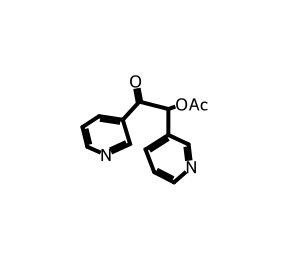 CC(=O)OC(C(=O)c1cccnc1)c1cccnc1